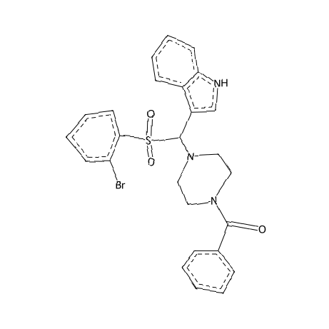 O=C(c1ccccc1)N1CCN(C(c2c[nH]c3ccccc23)S(=O)(=O)c2ccccc2Br)CC1